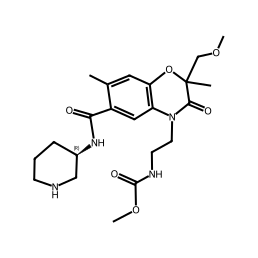 COCC1(C)Oc2cc(C)c(C(=O)N[C@@H]3CCCNC3)cc2N(CCNC(=O)OC)C1=O